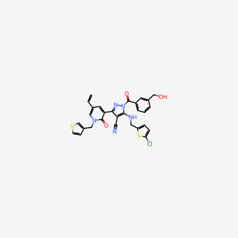 C=Cc1cc(-c2nn(C(=O)c3cccc(CO)c3)c(NCc3ccc(Cl)s3)c2C#N)c(=O)n(Cc2ccsc2)c1